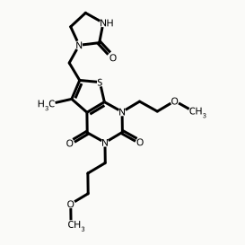 COCCCn1c(=O)c2c(C)c(CN3CCNC3=O)sc2n(CCOC)c1=O